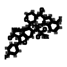 CCS(=O)(=O)Nc1cc2oc(-c3ccc(F)cc3)c(C(=O)NC)c2cc1C1CN(C(=O)c2cc3c(F)cccc3n2C)CCO1